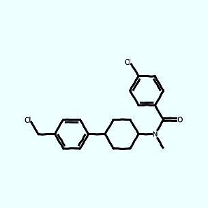 CN(C(=O)c1ccc(Cl)cc1)C1CCC(c2ccc(CCl)cc2)CC1